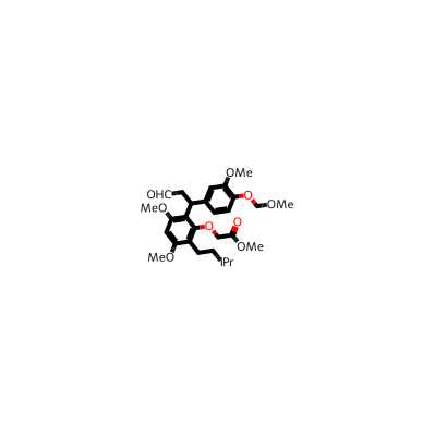 COCOc1ccc(C(CC=O)c2c(OC)cc(OC)c(CCC(C)C)c2OCC(=O)OC)cc1OC